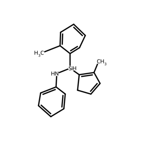 CC1=C([SiH](Nc2ccccc2)c2ccccc2C)CC=C1